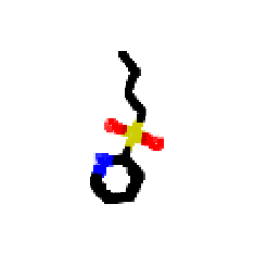 CCCCS(=O)(=O)c1ccccn1